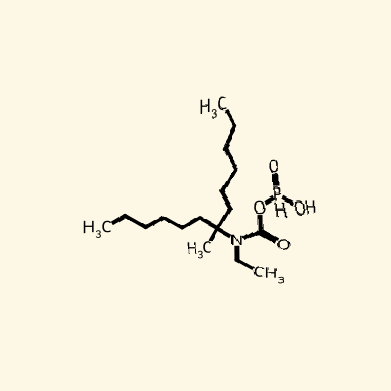 CCCCCCC(C)(CCCCCC)N(CC)C(=O)O[PH](=O)O